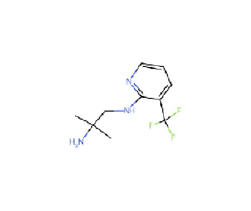 CC(C)(N)CNc1ncccc1C(F)(F)F